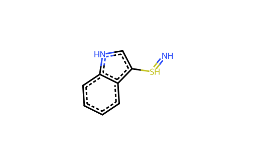 N=[SH]c1c[nH]c2ccccc12